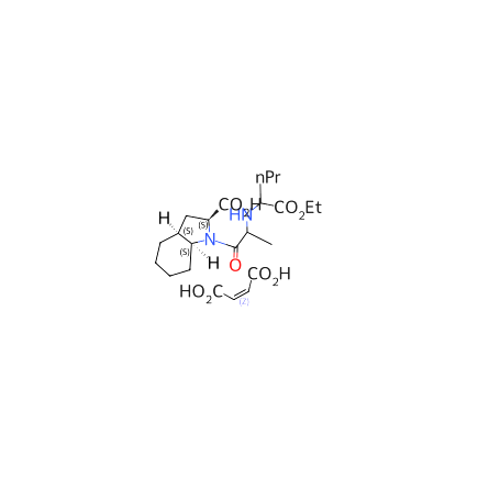 CCCC(NC(C)C(=O)N1[C@H](C(=O)O)C[C@@H]2CCCC[C@@H]21)C(=O)OCC.O=C(O)/C=C\C(=O)O